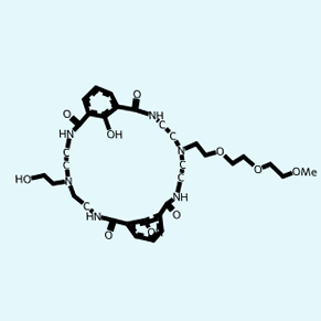 COCCOCCOCCN1CCNC(=O)c2cccc(c2O)C(=O)NCCN(CCO)CCNC(=O)c2cccc(c2O)C(=O)NCC1